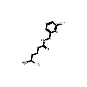 CC(C)CCCC(=O)NCc1cccc(Cl)c1